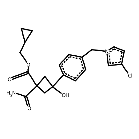 NC(=O)C1(C(=O)OCC2CC2)CC(O)(c2ccc(Cn3ccc(Cl)c3)cc2)C1